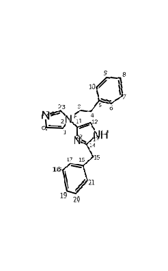 [C]1=C[N+](CCc2ccccc2)(c2c[nH]c(Cc3ccccc3)n2)C=N1